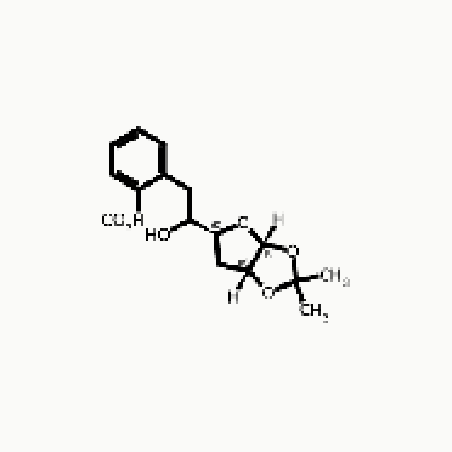 CC1(C)O[C@H]2O[C@H](C(O)Cc3ccccc3C(=O)O)C[C@H]2O1